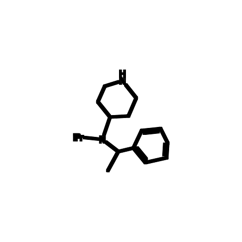 CC(C)N(C1CCNCC1)C(C)c1ccccc1